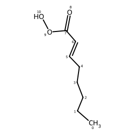 CCCCCC=CC(=O)OO